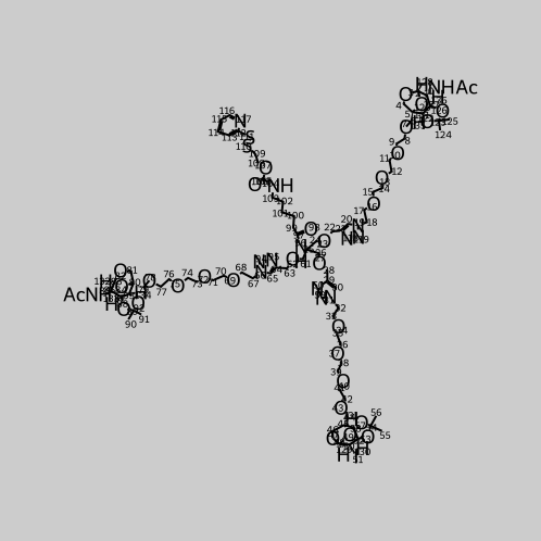 CC(=O)N[C@H]1[C@H]2OC[C@](COCCOCCOCCOCCn3cc(COCC(COCc4cn(CCOCCOCCOCCOC[C@@]56CO[C@@H](O5)[C@H](I)[C@H]5OC(C)(C)O[C@H]56)nn4)(COCc4cn(CCOCCOCCOCCOC[C@@]56CO[C@@H](O5)[C@H](NC(C)=O)[C@H]5OC(C)(C)O[C@H]56)nn4)NC(=O)CCCCCNC(=O)OCCSSc4ccccn4)nn3)(O2)[C@@H]2OC(C)(C)O[C@H]12